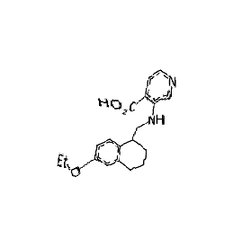 CCOc1ccc2c(c1)CCCC2CNc1cnccc1C(=O)O